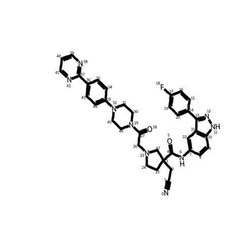 N#CCC1(C(=O)Nc2ccc3[nH]nc(-c4ccc(F)cc4)c3c2)CCN(CC(=O)N2CCN(c3ccc(-c4ncccn4)cc3)CC2)C1